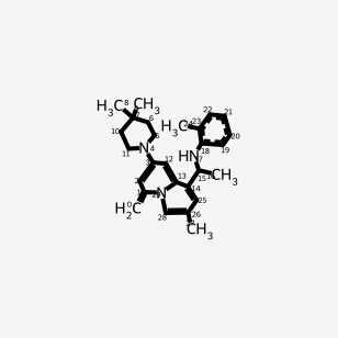 C=C1C=C(N2CCC(C)(C)CC2)C=C2C(C(C)Nc3ccccc3C)=CC(C)=CN12